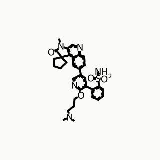 CN(C)CCCOc1ncc(-c2ccc3ncc4c(c3c2)C2(CCCC2)C(=O)N4C)cc1-c1ccccc1S(N)(=O)=O